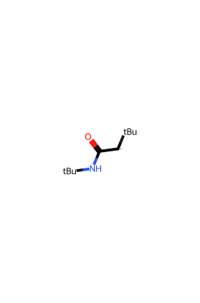 CC(C)(C)[CH]C(=O)NC(C)(C)C